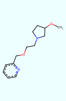 COC1CCN(CCOCc2ccccn2)C1